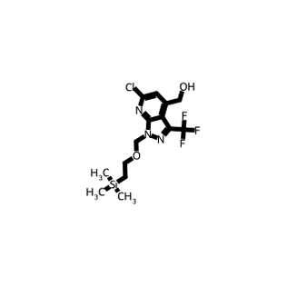 C[Si](C)(C)CCOCn1nc(C(F)(F)F)c2c(CO)cc(Cl)nc21